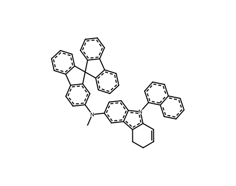 CN(c1ccc2c(c1)C1(c3ccccc3-c3ccccc31)c1ccccc1-2)c1ccc2c(c1)c1c(n2-c2cccc3ccccc23)C=CCC1